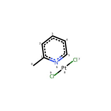 Cc1ccccn1.[Cl][Pt][Cl]